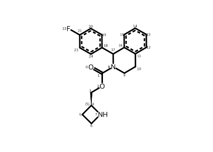 O=C(OC[C@@H]1CCN1)N1CCc2ccccc2C1c1ccc(F)cc1